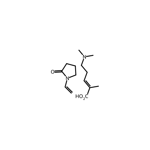 C=CN1CCCC1=O.CC(=CCCN(C)C)C(=O)O